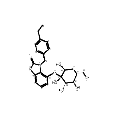 CCc1ccc(Cn2c(=O)[nH]c3cccc(O[C@]4(O)[C@@H](O)O[C@H](CO)[C@@H](O)[C@@H]4O)c32)cc1